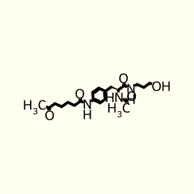 CC(=O)CCCCC(=O)Nc1ccc(C[C@H](NC(C)=O)C(=O)NCCCO)cc1